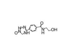 O=C(NCCO)c1ccc(C2=NC[NH+]([O-])CN2)cc1